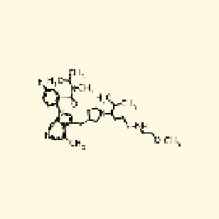 COCCNCCCC(C(C)C)N1CC[C@H](Cc2cn(-c3ccc(F)cc3C(=O)N(C)C(C)C)c3cncc(C)c23)C1